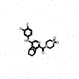 O=C(c1ncc(Nc2ccc(F)c(F)c2)c2c1C1CCC2C1)N1CCS(=O)(=O)CC1